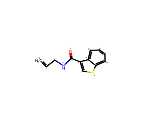 C=CCNC(=O)c1csc2ccccc12